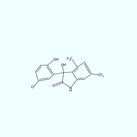 O=C1Nc2cc(C(F)(F)F)cc(C(F)(F)F)c2C1(O)c1cc(Cl)ccc1O